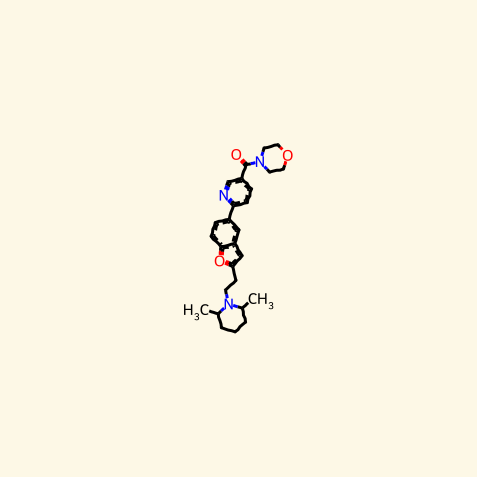 CC1CCCC(C)N1CCc1cc2cc(-c3ccc(C(=O)N4CCOCC4)cn3)ccc2o1